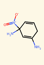 NC1=CC(N)([N+](=O)[O-])C=CC1